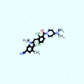 Cc1cc(C#N)cc2c1cc(Cc1c(Cl)ccc(C(=O)N3CCC(N(C)C)CC3)c1Cl)n2C